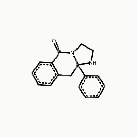 O=C1c2ccccc2CC2(c3ccccc3)NCCN12